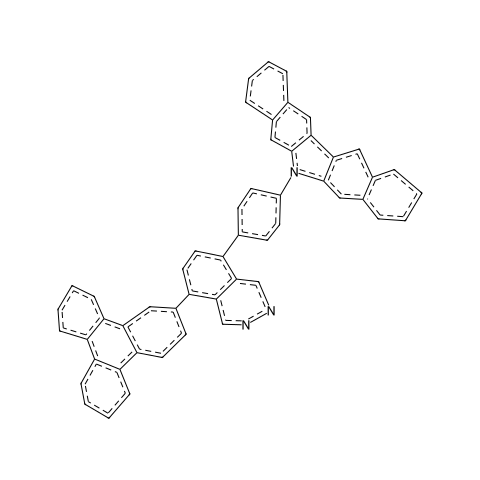 c1ccc2cc3c(cc2c1)c1cc2ccccc2cc1n3-c1ccc(-c2ccc(-c3ccc4c5ccccc5c5ccccc5c4c3)c3cnncc23)cc1